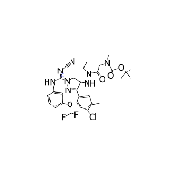 CCN(NC1CN(/C(=N\C#N)Nc2cccc(OC(F)F)c2)N=C1c1ccc(Cl)c(C)c1)C(=O)CN(C)C(=O)OC(C)(C)C